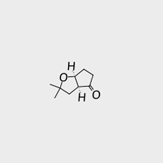 CC1(C)C[C@@H]2C(=O)CC[C@@H]2O1